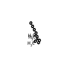 Cc1ccc(N(c2ccc3c(c2)C(C)(C)c2cc(-c4ccc(-c5ccc(-c6ccccc6)cc5)cc4)ccc2-3)c2cccc3ccccc23)cc1